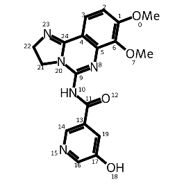 COc1ccc2c(c1OC)N=C(NC(=O)c1cncc(O)c1)N1CCN=C21